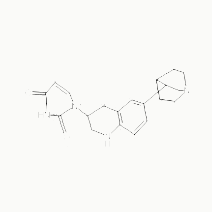 O=c1ccn(C2CNc3ccc(C4CN5CCC4CC5)cc3C2)c(=O)[nH]1